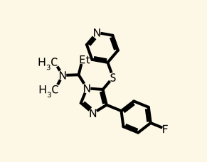 CCC(N(C)C)n1cnc(-c2ccc(F)cc2)c1Sc1ccncc1